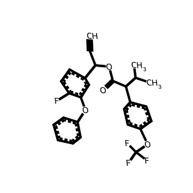 C#CC(OC(=O)C(c1ccc(OC(F)(F)F)cc1)C(C)C)c1ccc(F)c(Oc2ccccc2)c1